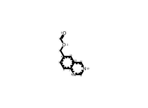 O=COCc1ccc2ncncc2c1